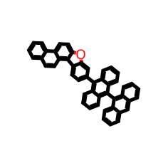 c1ccc2c(-c3c4ccccc4c(-c4ccc5c(c4)oc4ccc6c7ccccc7ccc6c45)c4ccccc34)c3ccccc3cc2c1